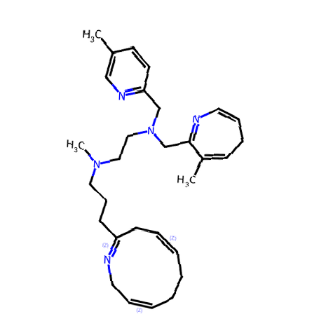 CC1=CCC=CN=C1CN(CCN(C)CCC/C1=N/C/C=C\CC/C=C\C1)Cc1ccc(C)cn1